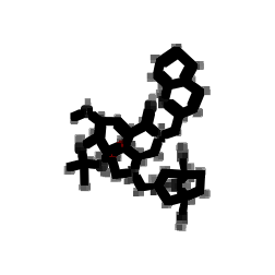 COc1cc(C(=O)N(Cc2ccc3ccccc3n2)C[C@@H]2CCCN2C[C@@H]2C[C@H]3CC[C@@H](C2)N3)cc2c1OC(C)(C)O2